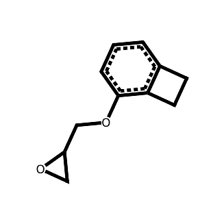 c1cc2c(c(OCC3CO3)c1)CC2